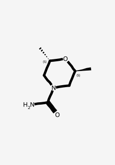 C[C@H]1CN(C(N)=O)C[C@H](C)O1